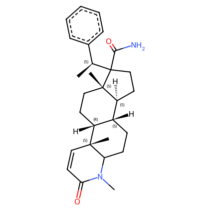 C[C@@H](c1ccccc1)C1(C(N)=O)CC[C@H]2[C@@H]3CCC4N(C)C(=O)C=C[C@]4(C)[C@@H]3CC[C@@]21C